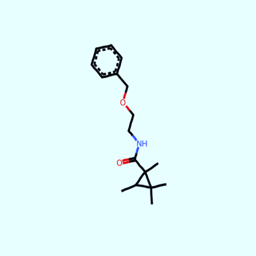 CC1C(C)(C)C1(C)C(=O)NCCOCc1ccccc1